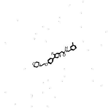 Cc1cccc(CNC(=O)Cc2cc(F)c(-c3ccc(OCCN4CCOCC4)cc3)cn2)c1